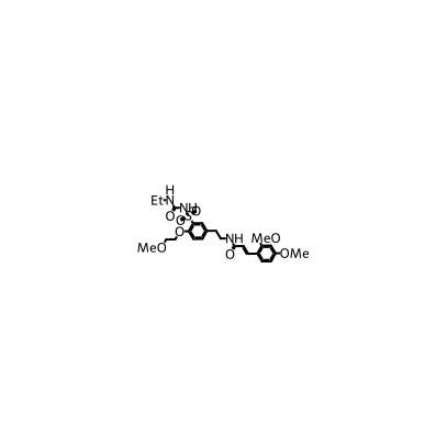 CCNC(=O)NS(=O)(=O)c1cc(CCNC(=O)C=Cc2ccc(OC)cc2OC)ccc1OCCOC